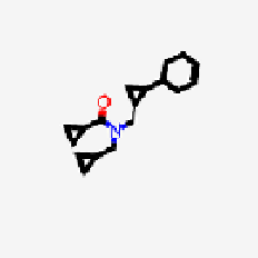 O=C(C1CC1)N(CC1CC1)C[C@H]1CC1C1CC=CCC1